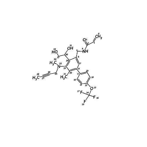 C=CC(=O)NCc1cc(-c2ccc(OC(F)(F)F)cc2)c(C)c(N(C)CC#CC)c1C(O)CO